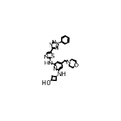 O[C@H]1C[C@H](Nc2cc(CN3CCOCC3)cc(Nc3ncc(-c4nnn(-c5ccccc5)n4)s3)n2)C1